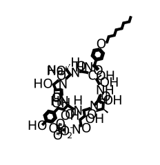 CCCCCCCCOc1ccc(C(=O)N[C@H]2C[C@@H](O)[C@H](O)NC(=O)[C@@H]3[C@@H](O)[C@@H](C)CN3C(=O)[C@H]([C@H](O)CC(N)=O)NC(=O)[C@H]([C@H](O)[C@@H](O)c3ccc(O)c(OS(=O)(=O)[O-])c3)NC(=O)[C@@H]3C[C@@H](O)CN3C(=O)[C@H]([C@@H](C)O)NC2=O)cc1.[Na+]